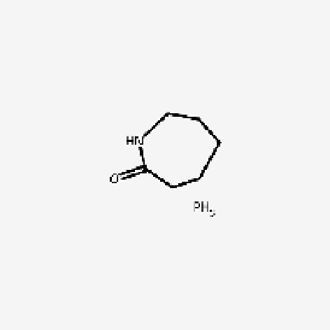 O=C1CCCCCN1.P